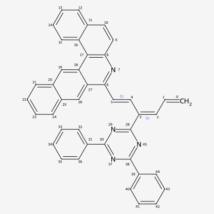 C=C/C=C(\C=C\c1nc2ccc3ccccc3c2c2cc3ccccc3cc12)c1nc(-c2ccccc2)nc(-c2ccccc2)n1